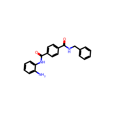 Nc1ccccc1NC(=O)c1ccc(C(=O)NCc2ccccc2)cc1